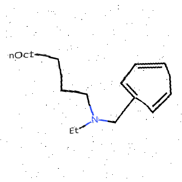 CCCCCCCCCCCN(CC)Cc1ccccc1